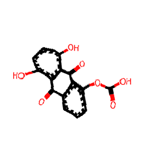 O=C(O)Oc1cccc2c1C(=O)c1c(O)ccc(O)c1C2=O